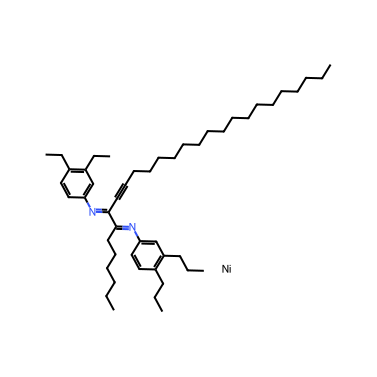 CCCCCCCCCCCCCCCCCC#CC(=Nc1ccc(CC)c(CC)c1)C(CCCCCC)=Nc1ccc(CCC)c(CCC)c1.[Ni]